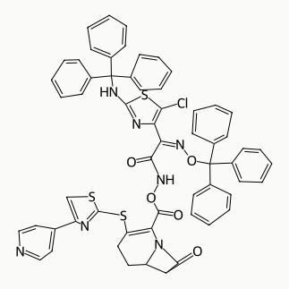 O=C(NOC(=O)C1=C(Sc2nc(-c3ccncc3)cs2)CCC2CC(=O)N12)C(=NOC(c1ccccc1)(c1ccccc1)c1ccccc1)c1nc(NC(c2ccccc2)(c2ccccc2)c2ccccc2)sc1Cl